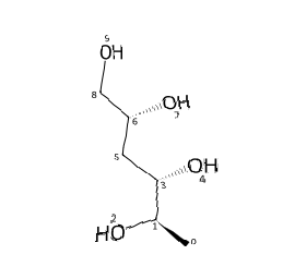 C[C@@H](O)[C@@H](O)C[C@@H](O)CO